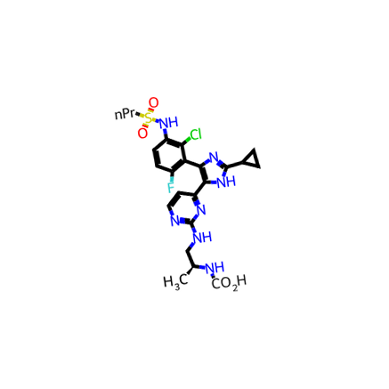 CCCS(=O)(=O)Nc1ccc(F)c(-c2nc(C3CC3)[nH]c2-c2ccnc(NC[C@H](C)NC(=O)O)n2)c1Cl